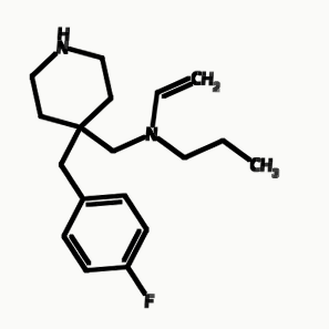 C=CN(CCC)CC1(Cc2ccc(F)cc2)CCNCC1